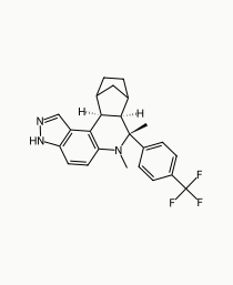 CN1c2ccc3[nH]ncc3c2[C@H]2C3CCC(C3)[C@H]2[C@]1(C)c1ccc(C(F)(F)F)cc1